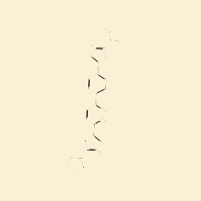 C[C@H](N)c1ncc(-c2ccc(-c3ccc(C4=CN=C(C5CCCC5)C4)nn3)cc2)[nH]1